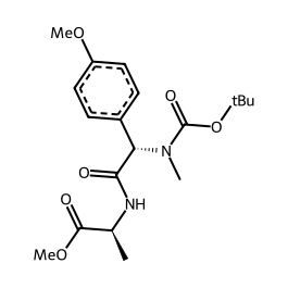 COC(=O)[C@H](C)NC(=O)[C@H](c1ccc(OC)cc1)N(C)C(=O)OC(C)(C)C